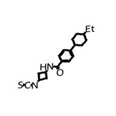 CCC1CCC(c2ccc(C(=O)NC3CC(N=C=S)C3)cc2)CC1